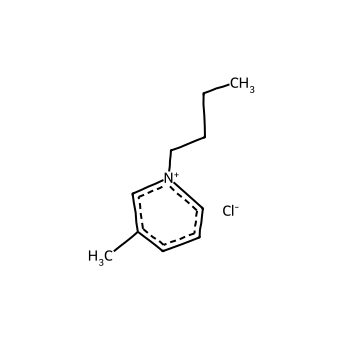 CCCC[n+]1cccc(C)c1.[Cl-]